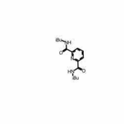 CCC(C)NC(=O)c1cccc(C(=O)NC(C)CC)n1